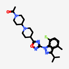 CC(=O)N1CCC(N2CCC(c3nc(-n4nc(C(C)C)c5c(C)ccc(F)c54)no3)CC2)CC1